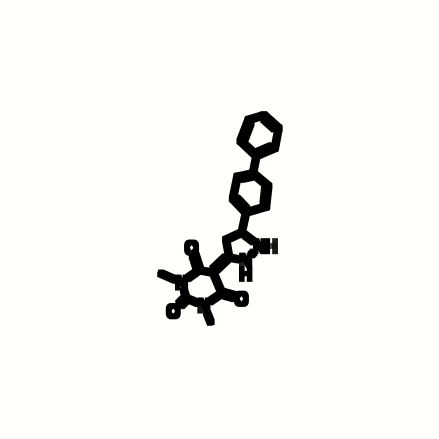 CN1C(=O)C(=C2CC(c3ccc(-c4ccccc4)cc3)NN2)C(=O)N(C)C1=O